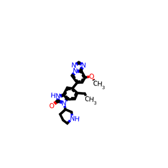 CCc1cc2c(cc1-c1cc(OC)c3ncnn3c1)[nH]c(=O)n2C1CCCNC1